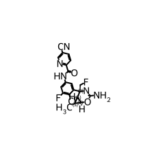 C[C@@H]1[C@@H]2OC(N)=N[C@@](CF)(c3cc(NC(=O)c4ccc(C#N)cn4)cc(F)c3Cl)[C@H]12